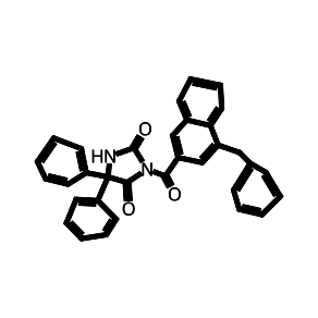 O=C1NC(c2ccccc2)(c2ccccc2)C(=O)N1C(=O)c1cc(Cc2ccccc2)c2ccccc2c1